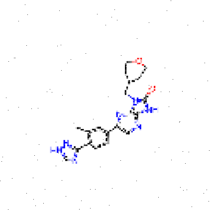 Cc1cc(-c2cnc3[nH]c(=O)n(CC4CCOCC4)c3n2)ccc1-c1nc[nH]n1